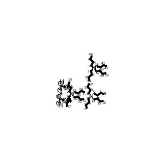 CCCC[N+](CCCC)(CCCC)CCCC.CCCC[N+](CCCC)(CCCC)CCCC.CCCC[N+](CCCC)(CCCC)CCCC.O=[PH](O)OCO[PH](=O)O